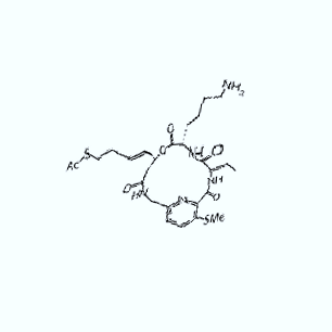 C/C=C1\NC(=O)c2nc(ccc2SC)CNC(=O)C[C@@H](/C=C/CCSC(C)=O)OC(=O)[C@H](CCCCN)NC1=O